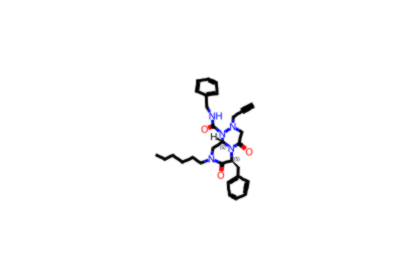 C#CCN1CC(=O)N2[C@@H](Cc3ccccc3)C(=O)N(CCCCCC)C[C@@H]2N1C(=O)NCc1ccccc1